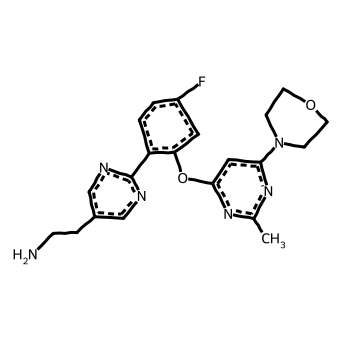 Cc1nc(Oc2cc(F)ccc2-c2ncc(CCN)cn2)cc(N2CCOCC2)n1